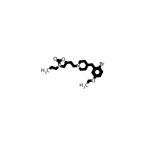 CCCN1CC(CCN2CCC(Cc3cc(OCC)ccc3Br)CC2)OC1=O